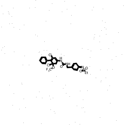 CCS(=O)(=O)N=C1C=CC(CNC(=O)NC2=CC(Cl)=C(c3ccccc3)C(Cl)(OC(F)(F)F)C2)=CC1